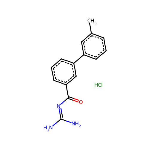 Cc1cccc(-c2cccc(C(=O)N=C(N)N)c2)c1.Cl